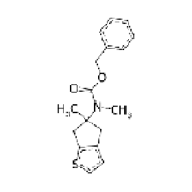 CN(C(=O)OCc1ccccc1)C1(C)Cc2ccsc2C1